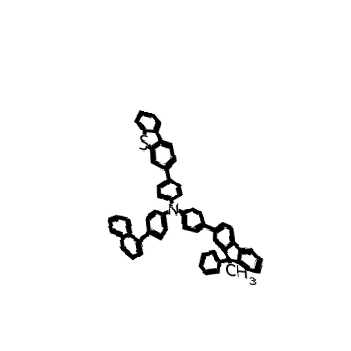 CC1(c2ccccc2)c2ccccc2-c2ccc(-c3ccc(N(c4ccc(-c5ccc6c(c5)sc5ccccc56)cc4)c4ccc(-c5cccc6ccccc56)cc4)cc3)cc21